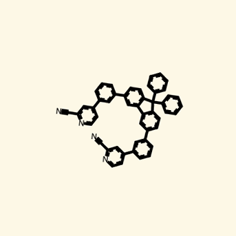 N#Cc1cc(-c2cccc(-c3ccc4c(c3)-c3cc(-c5cccc(-c6ccnc(C#N)c6)c5)ccc3C4(c3ccccc3)c3ccccc3)c2)ccn1